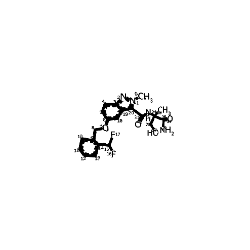 Cn1nc2ccc(OCc3ccccc3C(F)F)cc2c1C(=O)NC(C)(CO)C(N)=O